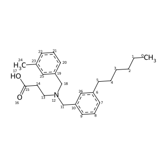 CCCCCCc1cccc(CN(CCC(=O)O)Cc2cccc(C)c2)c1